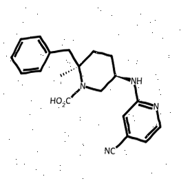 C[C@]1(Cc2ccccc2)CC[C@@H](Nc2cc(C#N)ccn2)CN1C(=O)O